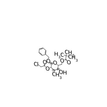 C[C@@H]1C(OC(=O)CCl)[C@H](OCc2ccccc2)OC(COC(=O)C(C)(C)C)[C@@H]1O